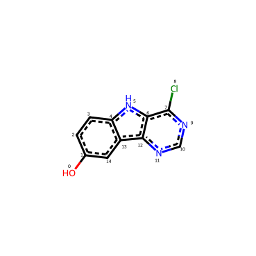 Oc1ccc2[nH]c3c(Cl)ncnc3c2c1